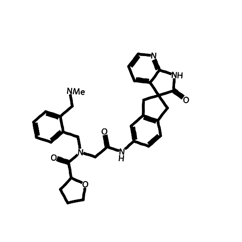 CNCc1ccccc1CN(CC(=O)Nc1ccc2c(c1)CC1(C2)C(=O)Nc2ncccc21)C(=O)C1CCCO1